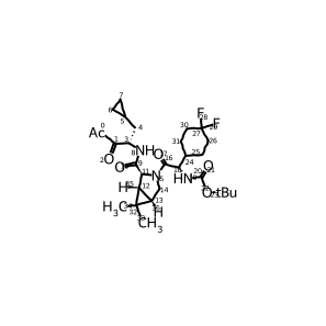 CC(=O)C(=O)[C@H](CC1CC1)NC(=O)[C@@H]1[C@@H]2[C@H](CN1C(=O)[C@@H](NC(=O)OC(C)(C)C)C1CCC(F)(F)CC1)C2(C)C